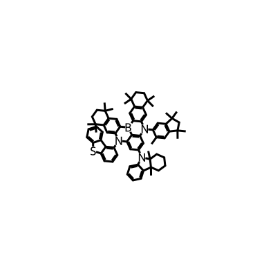 Cc1cc2c(cc1N1c3cc4c(cc3B3c5cc6c(cc5N(c5cccc7sc8ccccc8c57)c5cc(N7c8ccccc8C8(C)CCCCC78C)cc1c53)C(C)(C)CCC6(C)C)C(C)(C)CCC4(C)C)C(C)(C)CC2(C)C